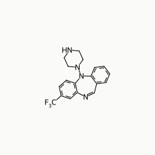 FC(F)(F)c1ccc2c(c1)N=Cc1ccccc1N2N1CCNCC1